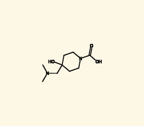 CN(C)CC1(O)CCN(C(=O)O)CC1